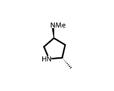 CN[C@@H]1CN[C@@H](C)C1